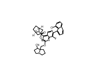 CC(C)(C)OC(=O)N1[C@@H]2CC[C@H]1CN(c1nc(OCC34CCCN3CCC4C#N)nc3c(F)c(-c4cccc5cccc(Cl)c45)ncc13)C2